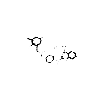 CN(C)c1nc(N[C@H]2CC[C@@H](CNCc3cc(Cl)cc(Cl)c3O)CC2)nc2ccccc12